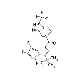 CC(C)(C)C(/[C]=C/C(=O)N1CCn2c(nnc2C(F)(F)F)C1)c1cc(F)c(F)cc1F